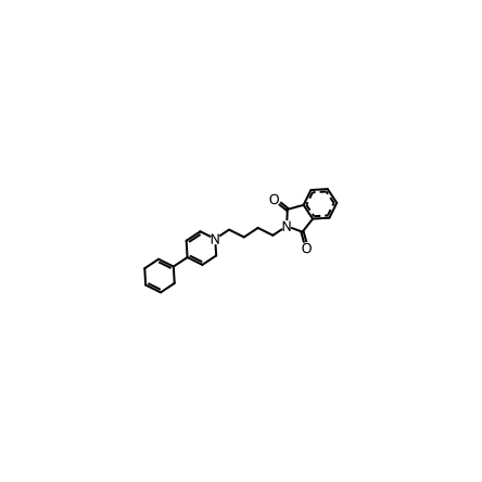 O=C1c2ccccc2C(=O)N1CCCCN1C=CC(C2=CCC=CC2)=CC1